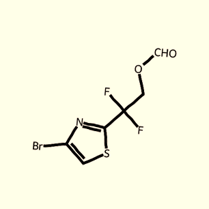 O=COCC(F)(F)c1nc(Br)cs1